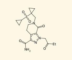 CCC(=O)Cn1nc(C(N)=O)c2c1C(=O)N(CC1(S(=O)(=O)C3CC3)CC1)CC2